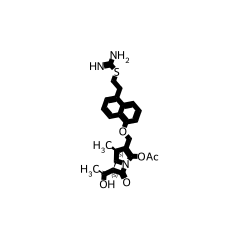 CC(=O)OC1=C(COc2cccc3c(CCSC(=N)N)cccc23)[C@H](C)C2[C@@H]([C@@H](C)O)C(=O)N12